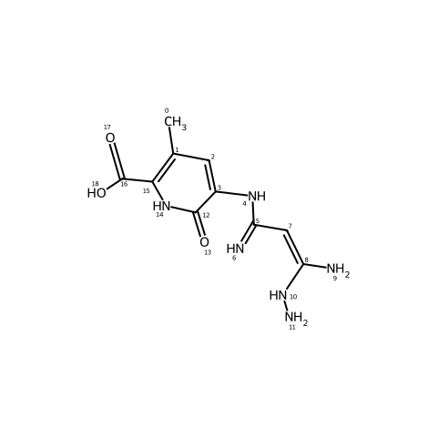 Cc1cc(NC(=N)/C=C(/N)NN)c(=O)[nH]c1C(=O)O